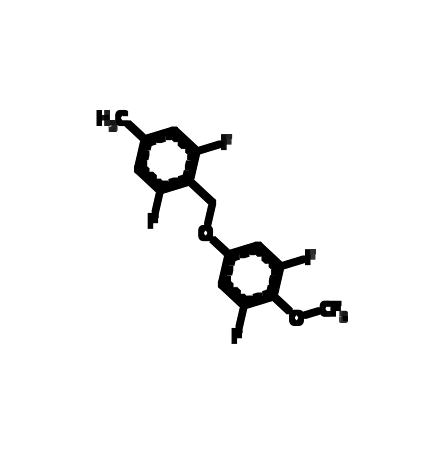 Cc1cc(F)c(COc2cc(F)c(OC(F)(F)F)c(F)c2)c(F)c1